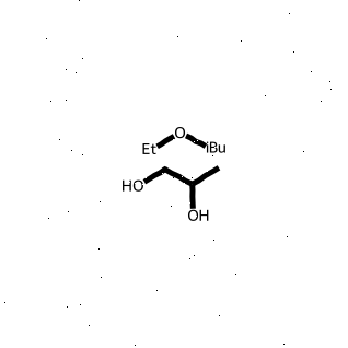 CC(O)CO.CCOC(C)CC